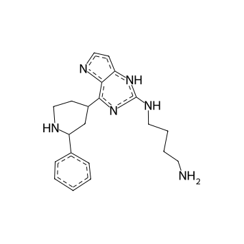 NCCCCNc1nc(C2CCNC(c3ccccc3)C2)c2nccc-2[nH]1